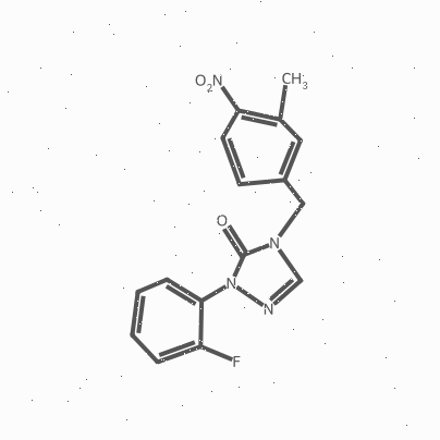 Cc1cc(Cn2cnn(-c3ccccc3F)c2=O)ccc1[N+](=O)[O-]